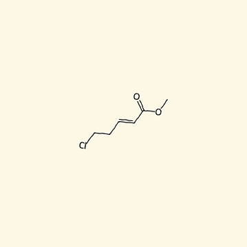 COC(=O)C=CCCCl